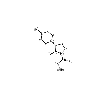 CC(C)N1CCN([C@H]2CCN(C(=O)OC(C)(C)C)[C@H]2C)CC1